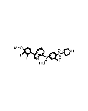 CCc1cc(Nc2nccn3c(-c4ccc(OC)c(F)c4F)cnc23)ccc1S(=O)(=O)N1CCNCC1.Cl